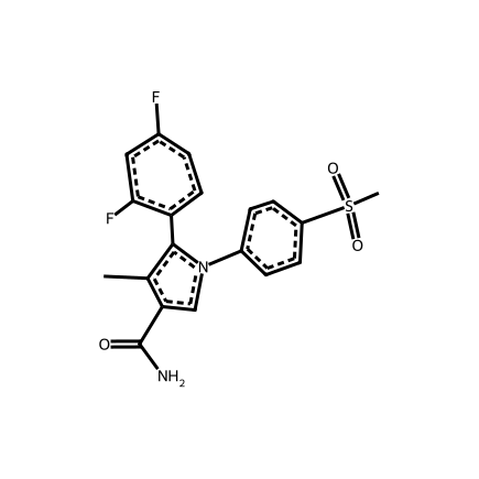 Cc1c(C(N)=O)cn(-c2ccc(S(C)(=O)=O)cc2)c1-c1ccc(F)cc1F